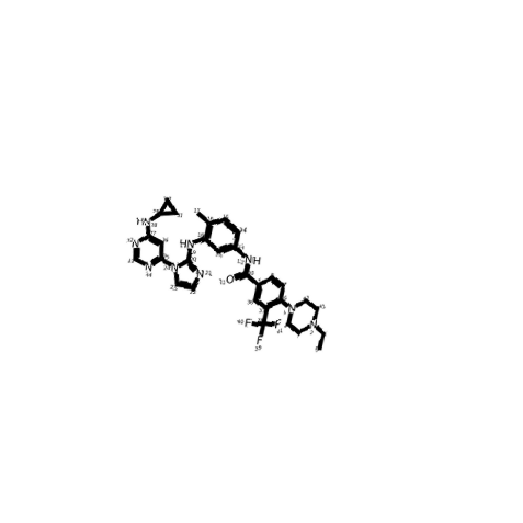 CCN1CCN(c2ccc(C(=O)Nc3ccc(C)c(Nc4nccn4-c4cc(NC5CC5)ncn4)c3)cc2C(F)(F)F)CC1